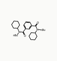 CCCCN(C(=O)c1cccc(C(=O)N(CCCC)C2CCCCC2)c1)C1CCCCC1